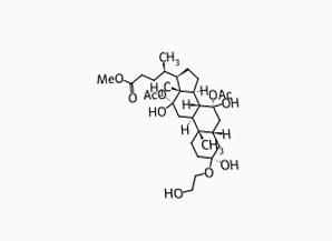 COC(=O)CC[C@@H](C)[C@H]1CC[C@H]2[C@H]3[C@H](C[C@](O)(OC(C)=O)[C@]12C)[C@@]1(C)CC[C@](O)(OCCO)C[C@H]1C[C@@]3(O)OC(C)=O